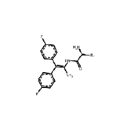 CC[C@H](C)[C@H](N)C(=O)NC(C)=C(c1ccc(F)cc1)c1ccc(F)cc1